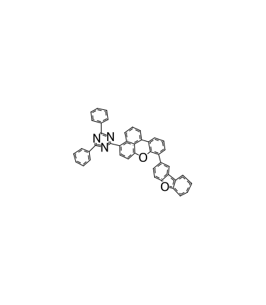 c1ccc(-c2nc(-c3ccccc3)nc(-c3ccc4c5c(cccc35)-c3cccc(-c5ccc6oc7ccccc7c6c5)c3O4)n2)cc1